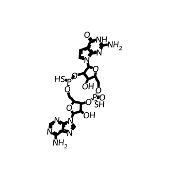 Nc1nc2c(ccn2C2OC3COP(=O)(S)OC4C(COP(S)OC2C3O)OC(n2cnc3c(N)ncnc32)C4O)c(=O)[nH]1